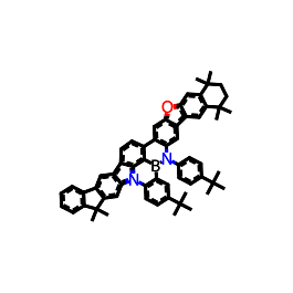 CC(C)(C)c1ccc(N2B3c4cc(C(C)(C)C)ccc4-n4c5cc6c(cc5c5ccc(c3c54)-c3cc4oc5cc7c(cc5c4cc32)C(C)(C)CCC7(C)C)-c2ccccc2C6(C)C)cc1